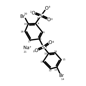 O=S(=O)([O-])c1cc(S(=O)(=O)c2ccc(Br)cc2)ccc1Br.[Na+]